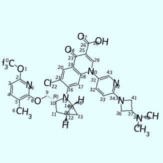 COc1ccc(C)c(OC[C@H]2C[C@H]3C[C@H]3N2c2cc3c(cc2Cl)c(=O)c(C(=O)O)cn3-c2ccc(N3CC(N(C)C)C3)nc2)n1